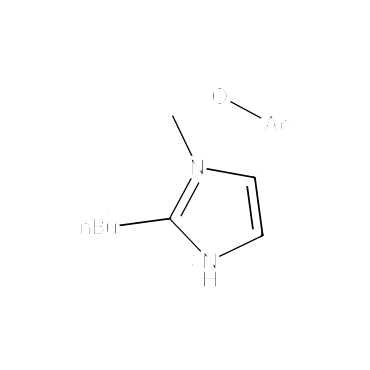 CC(=O)[O-].CCCCc1[nH]cc[n+]1C